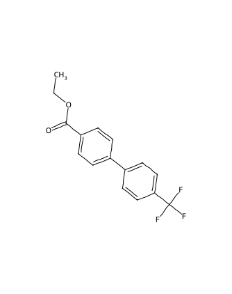 CCOC(=O)c1ccc(-c2ccc(C(F)(F)F)cc2)cc1